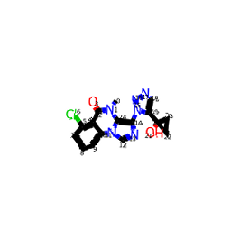 Cn1c(=O)c2c(Cl)cccc2n2cnc(-n3nncc3C3(O)CC3)c12